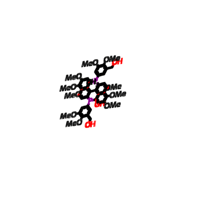 COc1cc(P(c2cc(OC)c(OC)c(OC)c2)c2cccc(C)c2-c2c(CO)cccc2P(c2cc(CO)c(OC)c(OC)c2)c2cc(OC)c(OC)c(OC)c2)cc(CO)c1OC